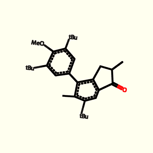 COc1c(C(C)(C)C)cc(-c2c(C)c(C(C)(C)C)cc3c2CC(C)C3=O)cc1C(C)(C)C